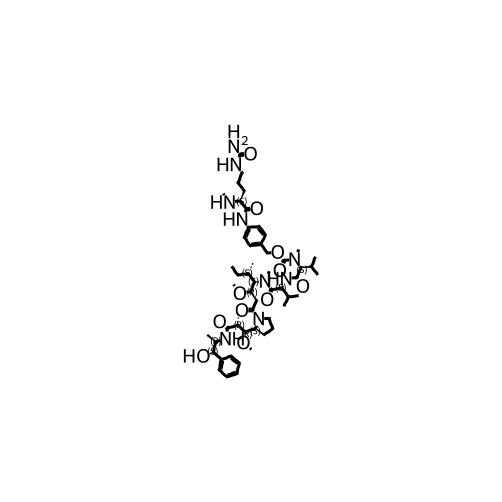 CC[C@H](C)[C@@H]([C@@H](CC(=O)N1CCC[C@H]1[C@H](OC)[C@@H](C)C(=O)N[C@H](C)[C@@H](O)c1ccccc1)OC)N(C)C(=O)[C@@H](NC(=O)[C@H](C(C)C)N(C)C(=O)OCc1ccc(NC(=O)[C@H](CCCNC(N)=O)NC)cc1)C(C)C